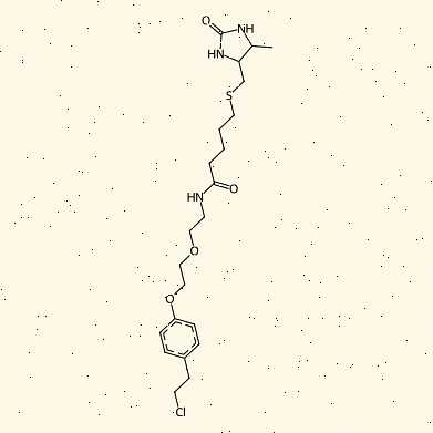 CC1NC(=O)NC1CSCCCCC(=O)NCCOCCOc1ccc(CCCl)cc1